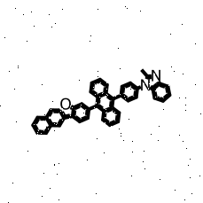 Cc1nc2ccccc2n1-c1ccc(-c2c3ccccc3c(-c3ccc4c(c3)oc3cc5ccccc5cc34)c3ccccc23)cc1